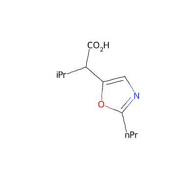 CCCc1ncc(C(C(=O)O)C(C)C)o1